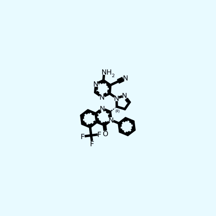 N#Cc1c(N)ncnc1N1N=CC[C@@H]1c1nc2cccc(C(F)(F)F)c2c(=O)n1-c1ccccc1